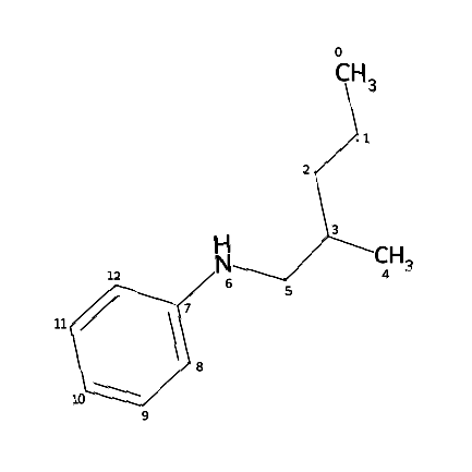 C[CH]CC(C)CNc1ccccc1